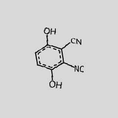 [C-]#[N+]c1c(O)ccc(O)c1C#N